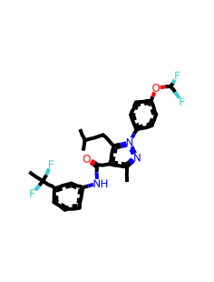 Cc1nn(-c2ccc(OC(F)F)cc2)c(CC(C)C)c1C(=O)Nc1cccc(C(C)(F)F)c1